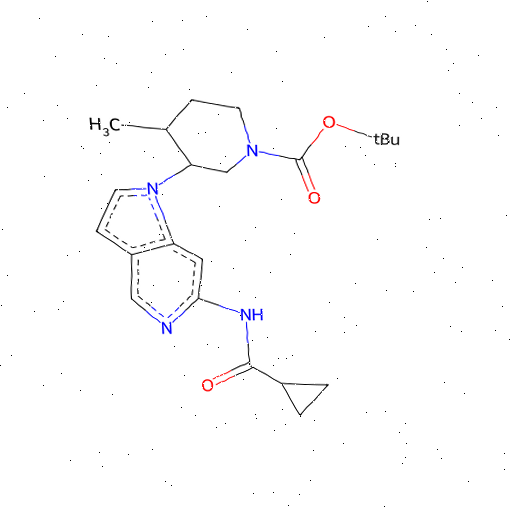 CC1CCN(C(=O)OC(C)(C)C)CC1n1ccc2cnc(NC(=O)C3CC3)cc21